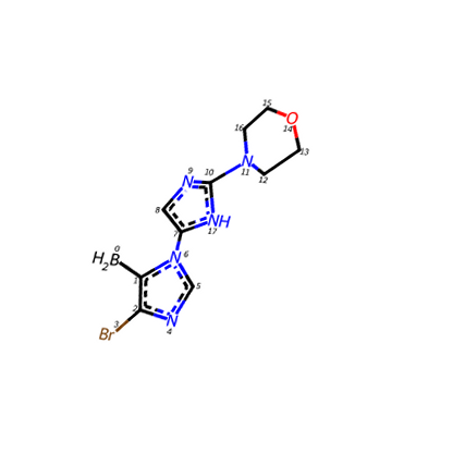 Bc1c(Br)ncn1-c1cnc(N2CCOCC2)[nH]1